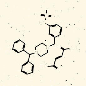 CS(=O)(=O)Nc1cccc(CN2CCN(C(c3ccccc3)c3ccccc3)CC2)c1.O=C(O)/C=C/C(=O)O